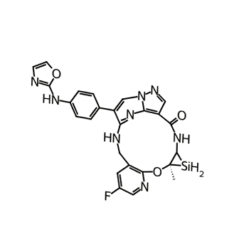 C[C@]12Oc3ncc(F)cc3CNc3nc4c(cnn4cc3-c3ccc(Nc4ncco4)cc3)C(=O)NC1[SiH2]2